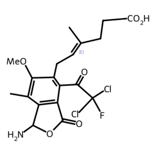 COc1c(C)c2c(c(C(=O)C(F)(Cl)Cl)c1C/C=C(\C)CCC(=O)O)C(=O)OC2N